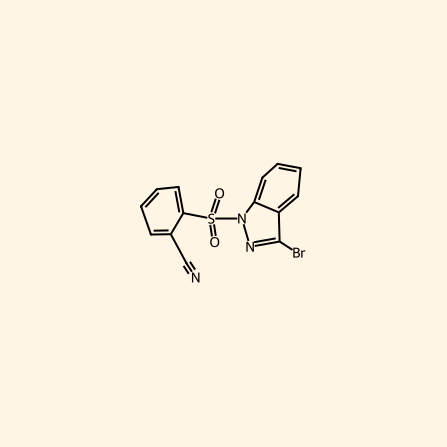 N#Cc1ccccc1S(=O)(=O)n1nc(Br)c2ccccc21